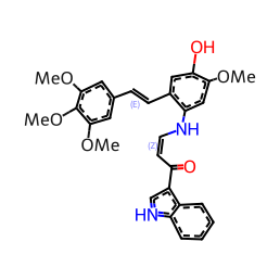 COc1cc(N/C=C\C(=O)c2c[nH]c3ccccc23)c(/C=C/c2cc(OC)c(OC)c(OC)c2)cc1O